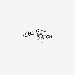 O=C(CON1CCOCC1)[C@@H](O)[C@H](O)[C@H](O)CO